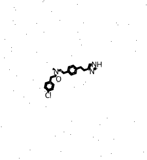 CN(CCc1ccc(CCc2c[nH]cn2)cc1)C(=O)Cc1ccc(Cl)cc1